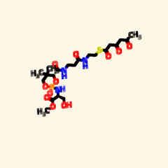 COC(=O)[C@H](CO)NP1(=O)OCC(C)(C)[C@H](C(=O)NCCC(=O)NCCSC(=O)CC(=O)CC(C)=O)O1